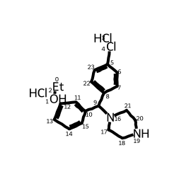 CCO.Cl.Cl.Clc1ccc(C(c2ccccc2)N2CCNCC2)cc1